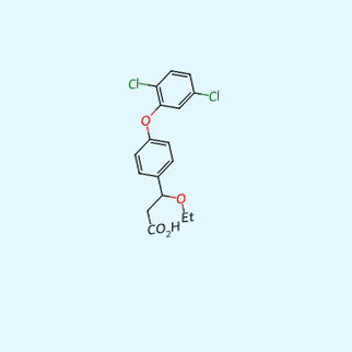 CCOC(CC(=O)O)c1ccc(Oc2cc(Cl)ccc2Cl)cc1